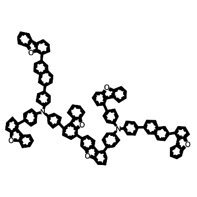 c1ccc2c(c1)oc1c(-c3ccc4cc(-c5ccc(N(c6ccc(-c7cccc8oc9ccccc9c78)cc6)c6ccc(-c7ccc(-c8ccc9c(c8)oc8cccc(-c%10ccc(N(c%11ccc(-c%12ccc%13cc(-c%14cccc%15oc%16ccccc%16c%14%15)ccc%13c%12)cc%11)c%11ccc(-c%12cccc%13oc%14ccccc%14c%12%13)cc%11)cc%10)c89)c8oc9ccccc9c78)cc6)cc5)ccc4c3)cccc12